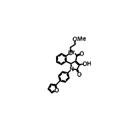 COCCOc1ccccc1C1C(C(=O)C(C)C)=C(O)C(=O)N1c1ccc(-c2ccco2)cc1